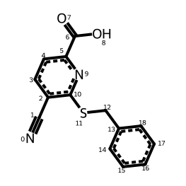 N#Cc1ccc(C(=O)O)nc1SCc1ccccc1